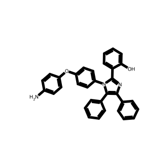 Nc1ccc(Oc2ccc(-n3c(-c4ccccc4O)nc(-c4ccccc4)c3-c3ccccc3)cc2)cc1